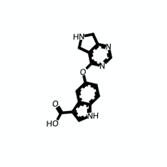 O=C(O)c1c[nH]c2ccc(Oc3ncnc4c3CNC4)cc12